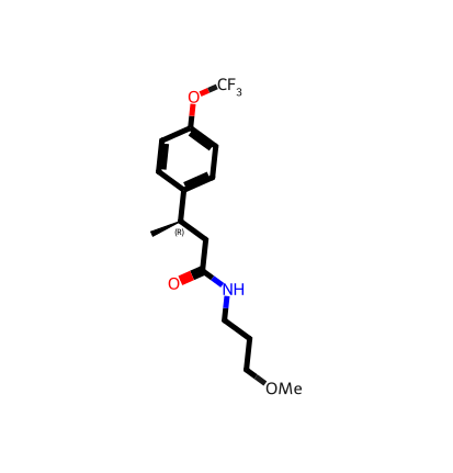 COCCCNC(=O)C[C@@H](C)c1ccc(OC(F)(F)F)cc1